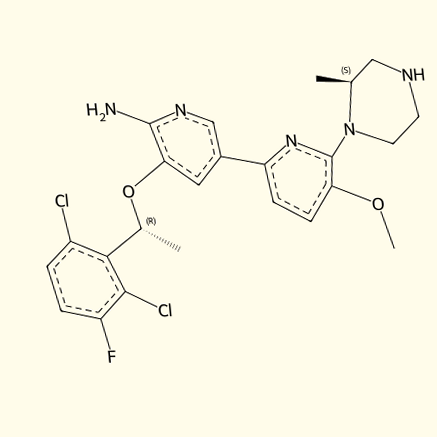 COc1ccc(-c2cnc(N)c(O[C@H](C)c3c(Cl)ccc(F)c3Cl)c2)nc1N1CCNC[C@@H]1C